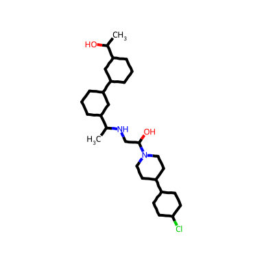 CC(O)C1CCCC(C2CCCC(C(C)NCC(O)N3CCC(C4CCC(Cl)CC4)CC3)C2)C1